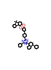 CC1(C)c2ccccc2-c2c1ccc1c2Oc2cc(-c3ccc(-c4nc(-c5ccccc5)nc(-c5ccc(-c6ccccc6)c6ccccc56)n4)cc3)ccc2O1